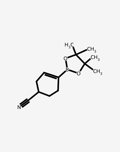 CC1(C)OB(C2=CCC(C#N)CC2)OC1(C)C